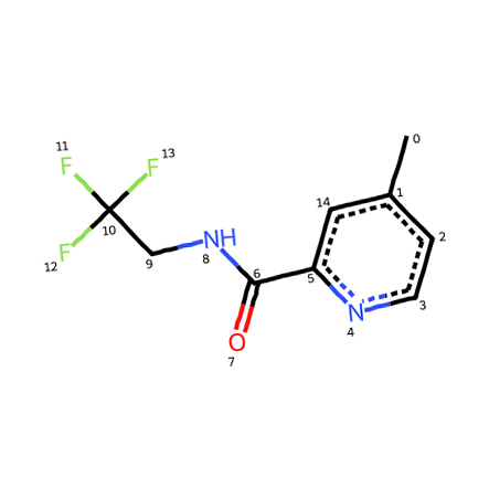 Cc1ccnc(C(=O)NCC(F)(F)F)c1